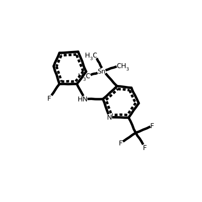 [CH3][Sn]([CH3])([CH3])[c]1ccc(C(F)(F)F)nc1Nc1ccccc1F